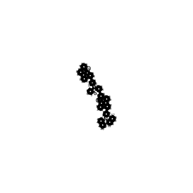 c1ccc2c(c1)Sc1c(-c3ccc4c5c(oc4c3)-c3ccccc3C53c4ccccc4-c4ccc(-c5ccc(N(c6cccc7ccccc67)c6cccc7ccccc67)cc5)cc43)cccc1N2c1ccc(-c2ccc3c(c2)C2(c4ccccc4-c4ccccc42)c2c-3oc3ccccc23)cc1